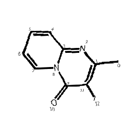 Cc1nc2ccccn2c(=O)c1I